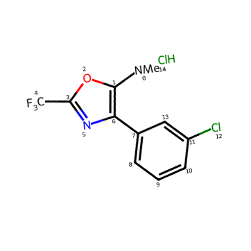 CNc1oc(C(F)(F)F)nc1-c1cccc(Cl)c1.Cl